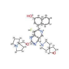 Oc1cc(-c2ncc3c(N4CCC5(CCOC5)CC4)nc(OCC45CCCN4CCC5)nc3c2F)c2ccccc2c1